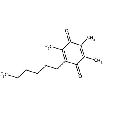 CC1=C(C)C(=O)C(CCCCCC(F)(F)F)=C(C)C1=O